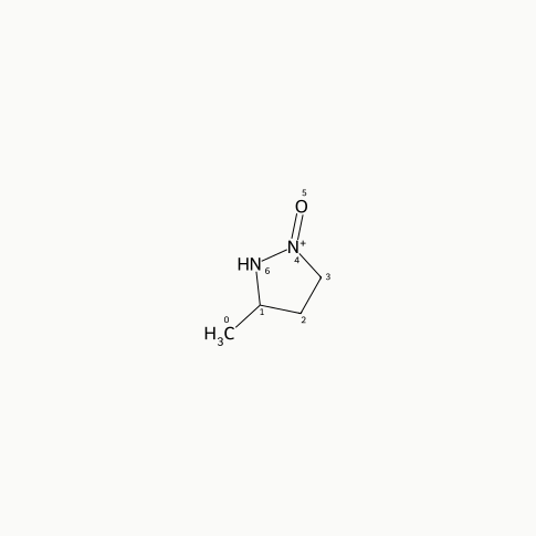 CC1CC[N+](=O)N1